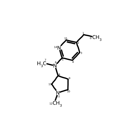 CCc1ccc(N(C)C2CCN(C)C2)nc1